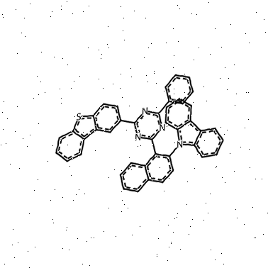 c1ccc(-c2nc(-c3ccc4sc5ccccc5c4c3)nc(-c3c(-n4c5ccccc5c5ccccc54)ccc4ccccc34)n2)cc1